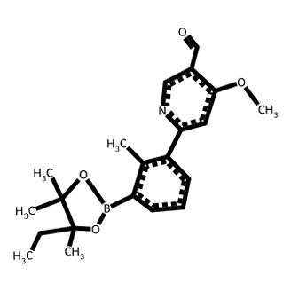 CCC1(C)OB(c2cccc(-c3cc(OC)c(C=O)cn3)c2C)OC1(C)C